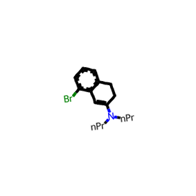 CCCN(CCC)C1=Cc2c(Br)cccc2CC1